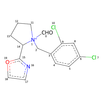 O=C[N+]1(Cc2ccc(Cl)cc2Cl)CCCC1c1ncco1